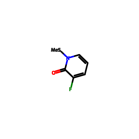 CSn1cccc(F)c1=O